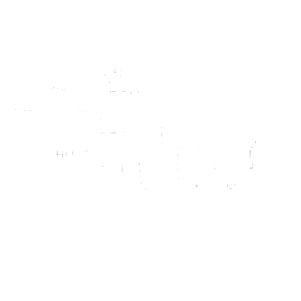 C=C(CCC(C(=O)O)C1C(O)CC2(C)C3=C(CCC12C)C1(C)CCC(OC(C)=O)C(C)(C)C1CC3)C(C)C